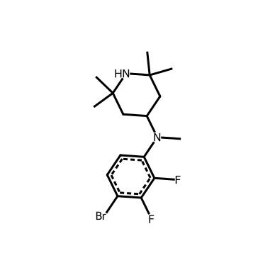 CN(c1ccc(Br)c(F)c1F)C1CC(C)(C)NC(C)(C)C1